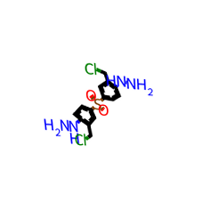 NNc1ccc(S(=O)(=O)c2ccc(NN)c(CCl)c2)cc1CCl